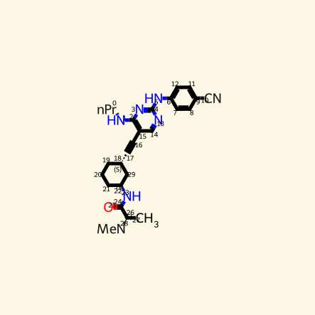 CCCNc1nc(Nc2ccc(C#N)cc2)ncc1C#C[C@H]1CCC[C@H](NC(=O)[C@H](C)NC)C1